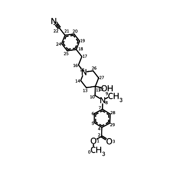 COC(=O)c1ccc(N(C)CC2(O)CCN(CCc3ccc(C#N)cc3)CC2)cc1